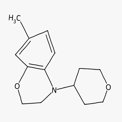 Cc1ccc2c(c1)OCCN2C1CCOCC1